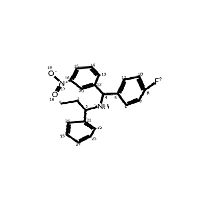 CCC(NC(c1ccc(F)cc1)c1cccc([N+](=O)[O-])c1)c1ccccc1